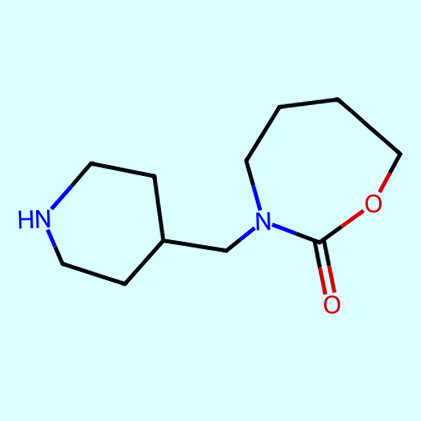 O=C1OCCCCN1CC1CCNCC1